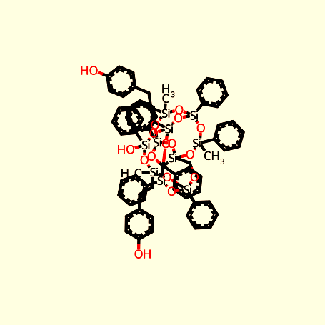 C[Si]1(CCc2ccc(O)cc2)O[Si]2(c3ccccc3)O[Si](C)(c3ccccc3)O[Si]34CO[Si]5(c6ccccc6)O[Si](C)(CCc6ccc(O)cc6)O[Si](O)(c6ccccc6)O[Si](c6ccccc6)(O2)O[Si](c2ccccc2)(O5)C3(c2ccccc2)O[Si](c2ccccc2)(O1)O4